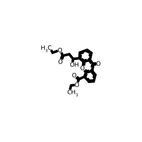 CCOC(=O)CC(O)c1cccc2c(=O)c3cccc(C(=O)OCC)c3oc12